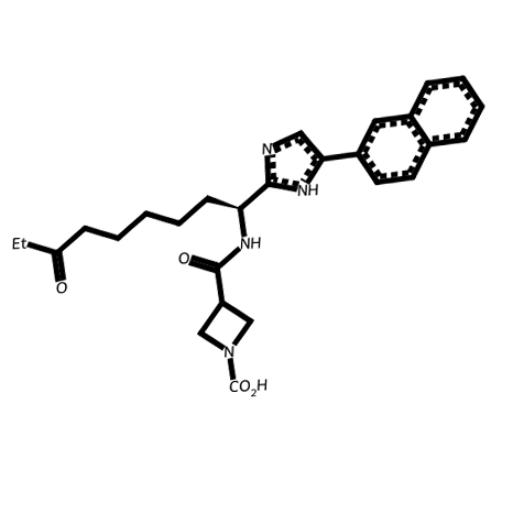 CCC(=O)CCCCC[C@H](NC(=O)C1CN(C(=O)O)C1)c1ncc(-c2ccc3ccccc3c2)[nH]1